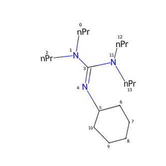 CCCN(CCC)C(=NC1CCCCC1)N(CCC)CCC